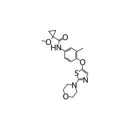 COC1(C(=O)Nc2ccc(Oc3cnc(N4CCOCC4)s3)c(C)c2)CC1